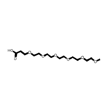 COCCOCCOCCOCCOCCOCCC(=O)O